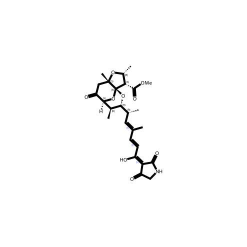 COC(=O)[C@H]1[C@@H](C)O[C@@]2(C)CC(=O)[C@H]3O[C@@]12O[C@H]([C@H](C)/C=C(C)/C=C/C(O)=C1/C(=O)CNC1=O)[C@H]3C